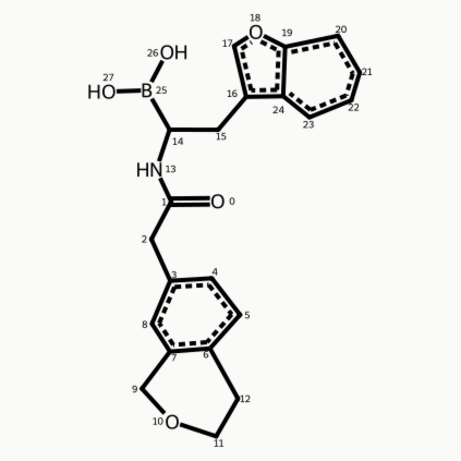 O=C(Cc1ccc2c(c1)COCC2)NC(Cc1coc2ccccc12)B(O)O